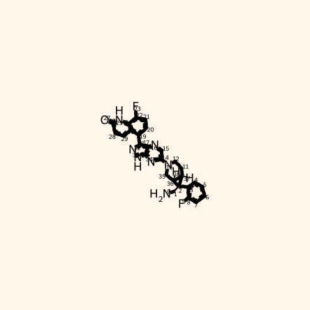 NC[C@]1(c2ccccc2F)[C@@H]2CCN(c3cnc4c(-c5ccc(F)c6[nH]c(=O)ccc56)n[nH]c4n3)C[C@@H]21